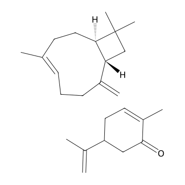 C=C(C)C1CC=C(C)C(=O)C1.C=C1CC/C=C(\C)CC[C@@H]2[C@@H]1CC2(C)C